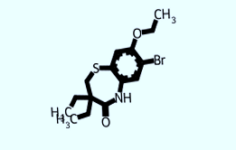 CCOc1cc2c(cc1Br)NC(=O)C(CC)(CC)CS2